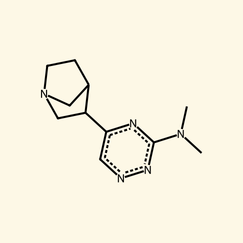 CN(C)c1nncc(C2CN3CCC2C3)n1